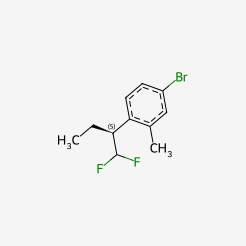 CC[C@@H](c1ccc(Br)cc1C)C(F)F